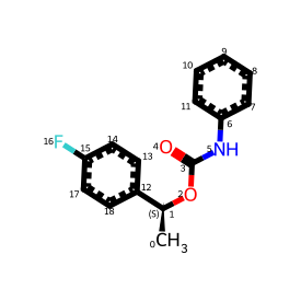 C[C@H](OC(=O)Nc1ccccc1)c1ccc(F)cc1